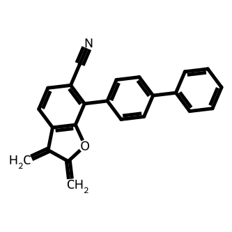 C=c1oc2c(-c3ccc(-c4ccccc4)cc3)c(C#N)ccc2c1=C